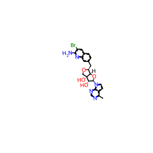 Cc1ncnc2c1ccn2[C@@H]1O[C@@H]2[C@H](Cc3ccc4cc(Br)c(N)nc4c3)OC[C@]2(O)[C@H]1O